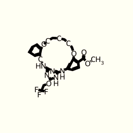 COC(=O)c1ccc2cc1OCCCCCCOc1ccccc1CNC1=NC(OCC(F)(F)F)NC(=N1)N2